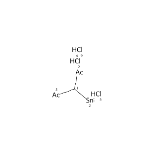 CC(=O)[CH]([Sn])C(C)=O.Cl.Cl.Cl